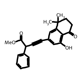 COC(=O)C(C#Cc1cc(O)c2c(c1)C(C)(C)CCC2=O)c1ccccc1